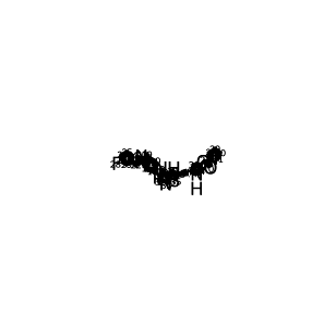 O=C(O[C@H]1CN[C@@H](C#Cc2cc3c(Nc4ccc5c(cnn5Cc5cccc(F)c5)c4)ncnc3s2)C1)N1CCCC1